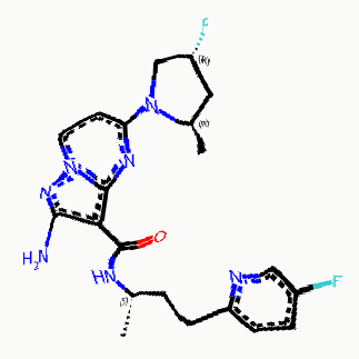 C[C@@H]1C[C@@H](F)CN1c1ccn2nc(N)c(C(=O)N[C@@H](C)CCc3ccc(F)cn3)c2n1